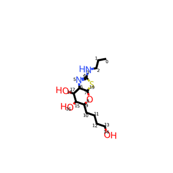 CCCNC1=NC2C(OC(CCCCO)C(O)C2O)S1